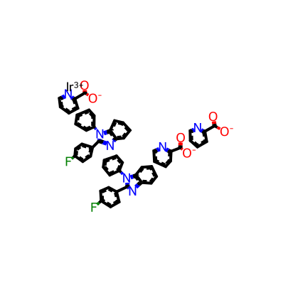 Fc1ccc(-c2nc3ccccc3n2-c2ccccc2)cc1.Fc1ccc(-c2nc3ccccc3n2-c2ccccc2)cc1.O=C([O-])c1ccccn1.O=C([O-])c1ccccn1.O=C([O-])c1ccccn1.[Ir+3]